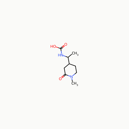 CC(NC(=O)O)C1CCN(C)C(=O)C1